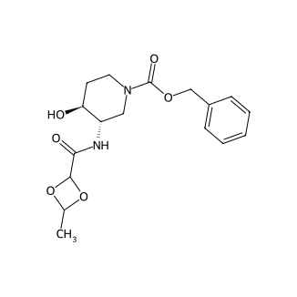 CC1OC(C(=O)N[C@H]2CN(C(=O)OCc3ccccc3)CC[C@@H]2O)O1